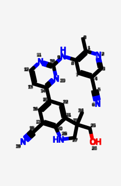 Cc1ncc(C#N)cc1Nc1nccc(-c2cc(C#N)c3c(c2)C(C)(CO)CN3)n1